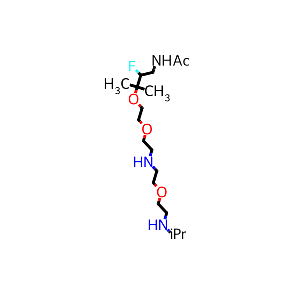 CC(=O)NCC(F)C(C)(C)OCCOCCNCCOCCNC(C)C